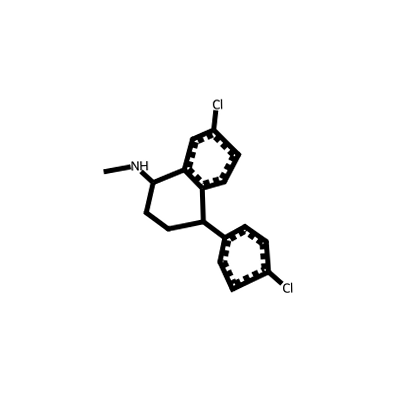 CNC1CCC(c2ccc(Cl)cc2)c2ccc(Cl)cc21